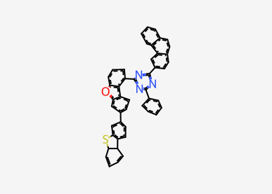 C1=CC2Sc3cc(-c4ccc5c(c4)oc4cccc(-c6nc(-c7ccccc7)nc(-c7ccc8ccc9ccccc9c8c7)n6)c45)ccc3C2C=C1